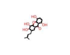 CC(C)=CCc1cc2c(=O)c3c(O)ccc(O)c3oc2c(O)c1O